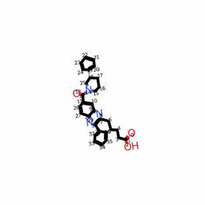 O=C(O)CCCCc1nc2cc(C(=O)N3CCC[C@@H](c4ccccc4)C3)ccc2nc1-c1ccccc1